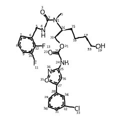 CN(C(=O)NCc1cccc(F)c1F)[C@@H](CCCCO)COC(=O)Nc1cc(-c2cccc(Cl)c2)on1